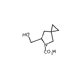 O=C(O)N1CC2(CC2)CC1CO